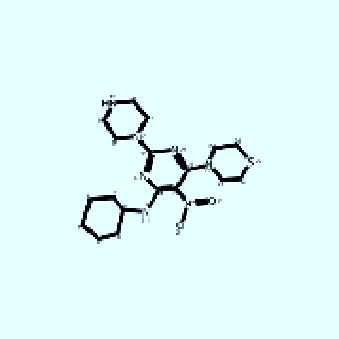 O=[N+]([O-])c1c(NC2CCCCC2)nc(N2CCNCC2)nc1N1CCSCC1